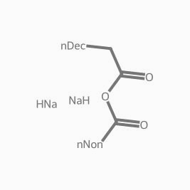 CCCCCCCCCCCC(=O)OC(=O)CCCCCCCCC.[NaH].[NaH]